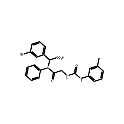 Cc1cccc(NC(=O)NCC(=O)N(c2ccccc2)C(C(=O)O)c2cccc(Br)c2)c1